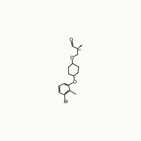 Cc1c(Br)cccc1OC1CCC(OC[C@H](C)C=O)CC1